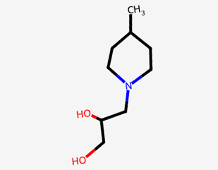 CC1CCN(CC(O)CO)CC1